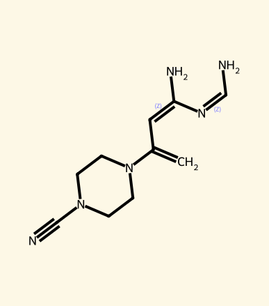 C=C(/C=C(N)\N=C/N)N1CCN(C#N)CC1